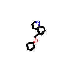 [c]1ccc(OCc2cccc3ncccc23)cc1